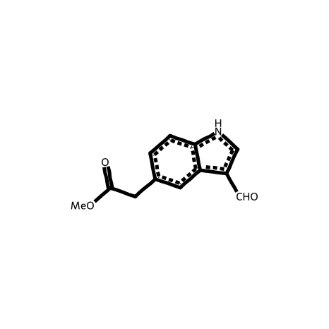 COC(=O)Cc1ccc2[nH]cc(C=O)c2c1